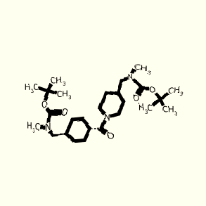 CN(CC1CCN(C(=O)[C@H]2CC[C@H](CN(C)C(=O)OC(C)(C)C)CC2)CC1)C(=O)OC(C)(C)C